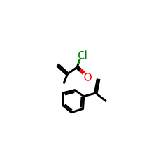 C=C(C)C(=O)Cl.C=C(C)c1ccccc1